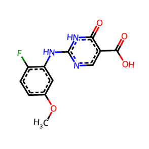 COc1ccc(F)c(Nc2ncc(C(=O)O)c(=O)[nH]2)c1